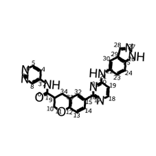 O=C(Nc1ccnnc1)C1COc2ccc(-c3nccc(Nc4ccc5[nH]ncc5c4)n3)cc2C1